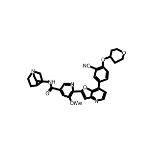 COc1cc(C(=O)NC2CN3CCC2CC3)cnc1-c1cc2nccc(-c3ccc(OC4CCOCC4)c(C#N)c3)c2o1